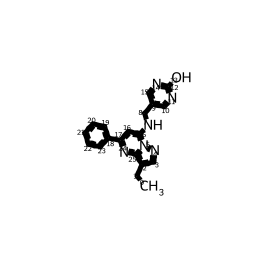 CCc1cnn2c(NCc3cnc(O)nc3)cc(-c3ccccc3)nc12